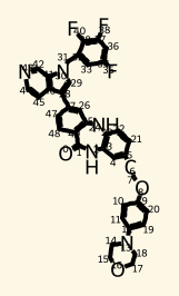 O=C1Nc2cc(CCOc3ccc(N4CCOCC4)cc3)ccc2Nc2cc(-c3cn(Cc4cc(F)cc(F)c4F)c4cnccc34)ccc21